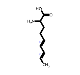 C/C=C/C=C/CCC(N)C(=O)O